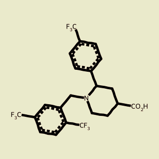 O=C(O)C1CCN(Cc2cc(C(F)(F)F)ccc2C(F)(F)F)C(c2ccc(C(F)(F)F)cc2)C1